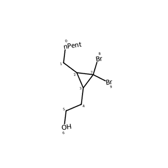 CCCCCCC1C(CCO)C1(Br)Br